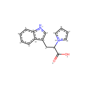 O=C(O)C(Cc1c[nH]c2ccccc12)n1cccc1